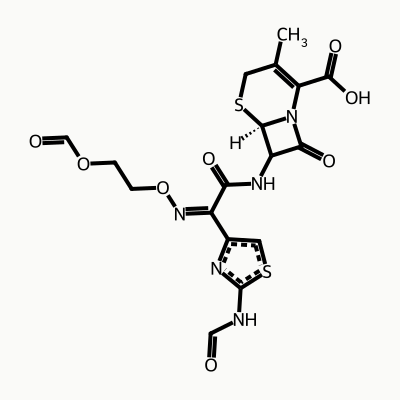 CC1=C(C(=O)O)N2C(=O)C(NC(=O)/C(=N\OCCOC=O)c3csc(NC=O)n3)[C@H]2SC1